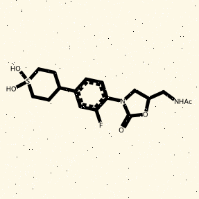 CC(=O)NCC1CN(c2ccc(C3CCS(O)(O)CC3)cc2F)C(=O)O1